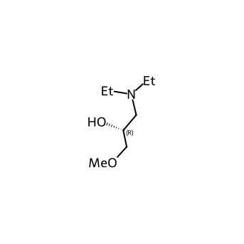 CCN(CC)C[C@@H](O)COC